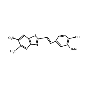 COc1cc(C=Cc2nc3cc(C)c([N+](=O)[O-])cc3s2)ccc1O